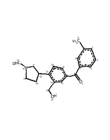 Cc1cccc(C(=O)c2ccc(C3CCN(C=O)C3)c(CO)c2)c1